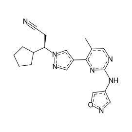 Cc1cnc(Nc2cnoc2)nc1-c1cnn([C@H](CC#N)C2CCCC2)c1